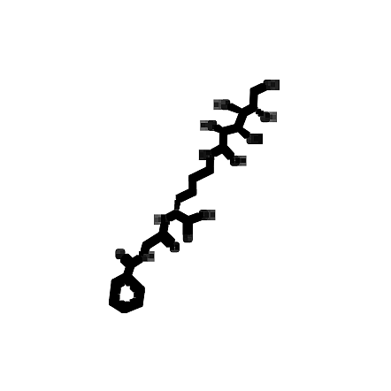 O=C(CNC(=O)c1ccccc1)N[C@H](CCCCNC(O)[C@@H](O)[C@H](O)[C@@H](O)[C@@H](O)CO)C(=O)O